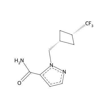 NC(=O)c1ccnn1C[C@H]1C[C@@H](C(F)(F)F)C1